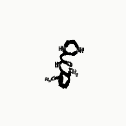 Cc1cccc(C)c1NC(=O)CC1CNCCN1